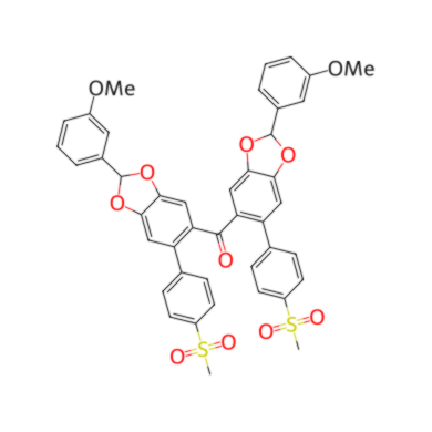 COc1cccc(C2Oc3cc(C(=O)c4cc5c(cc4-c4ccc(S(C)(=O)=O)cc4)OC(c4cccc(OC)c4)O5)c(-c4ccc(S(C)(=O)=O)cc4)cc3O2)c1